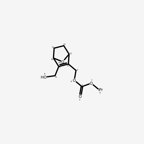 CC(C)OC(=O)OCC1=C(CO)C2CCC1O2